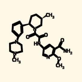 COc1ncc(NC(=O)C(=O)N2C[C@@H](C)CC[C@@H]2c2cccc(N3CCN(C)CC3)c2)cc1C(N)=O